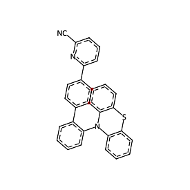 N#Cc1cccc(-c2ccc(-c3ccccc3N3c4ccccc4Sc4ccccc43)cc2)n1